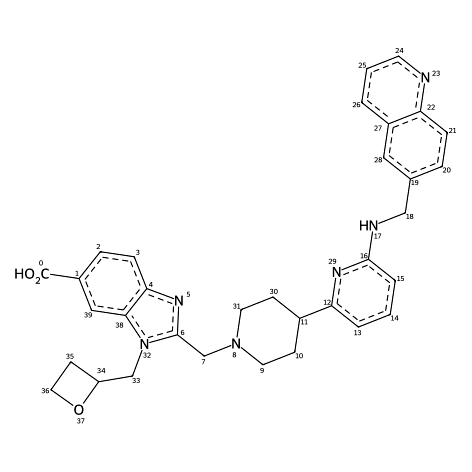 O=C(O)c1ccc2nc(CN3CCC(c4cccc(NCc5ccc6ncccc6c5)n4)CC3)n(CC3CCO3)c2c1